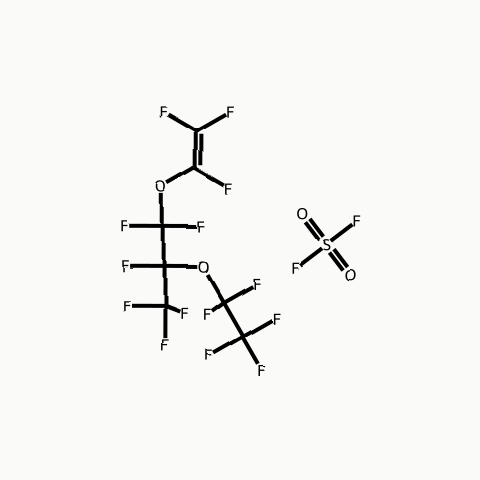 FC(F)=C(F)OC(F)(F)C(F)(OC(F)(F)C(F)(F)F)C(F)(F)F.O=S(=O)(F)F